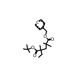 CCC(C)(CC(C)(C)C(=O)OCc1ccccc1)C(=O)OC(C)(C)C